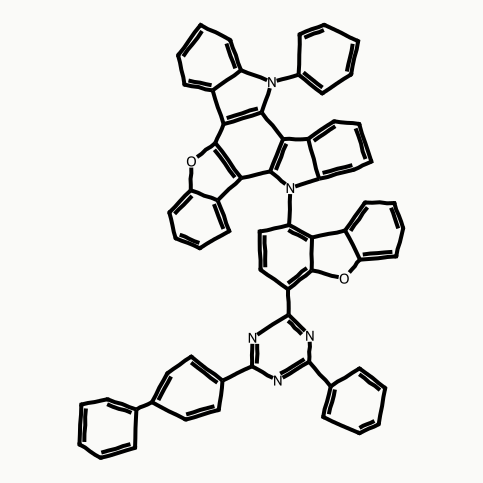 c1ccc(-c2ccc(-c3nc(-c4ccccc4)nc(-c4ccc(-n5c6ccccc6c6c7c(c8ccccc8n7-c7ccccc7)c7oc8ccccc8c7c65)c5c4oc4ccccc45)n3)cc2)cc1